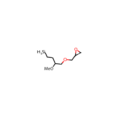 COC(CC[SiH3])COCC1CO1